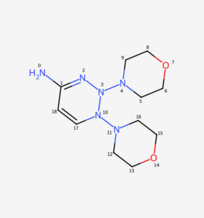 NC1=NN(N2CCOCC2)N(N2CCOCC2)C=C1